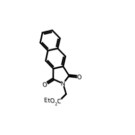 CCOC(=O)CN1C(=O)c2cc3ccccc3cc2C1=O